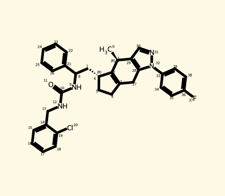 C[C@@H]1C2=C(CC[C@@H]2CC(NC(=O)NCc2ccccc2Cl)c2ccccc2)Cc2c1cnn2-c1ccc(F)cc1